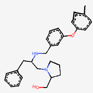 Cc1ccc(Oc2cccc(CNC(Cc3ccccc3)CN3CCCC3CO)c2)cc1